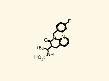 CC(C)(C)C(NC(=O)O)C1Cc2cccnc2N(Cc2ccc(F)cc2)C1=O